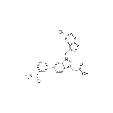 NC(=O)c1cccc(-c2ccc3c(CC(=O)O)cn(Cc4csc5ccc(Cl)cc45)c3c2)c1